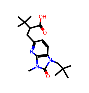 Cn1c(=O)n(CC(C)(C)C)c2ccc(CC(C(=O)O)C(C)(C)C)nc21